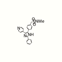 CNS(=O)(=O)Cc1ccc(-c2[nH]c(-c3ccccc3)nc2-c2ccncc2)cc1